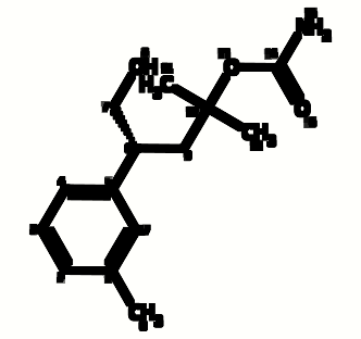 Cc1cccc([C@H](CO)CC(C)(C)OC(N)=O)c1